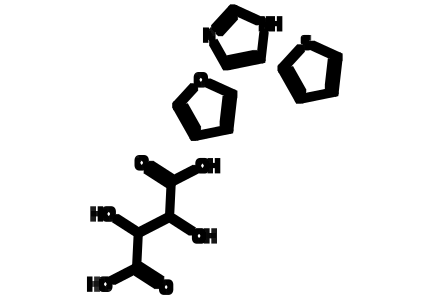 O=C(O)C(O)C(O)C(=O)O.c1c[nH]cn1.c1ccoc1.c1ccsc1